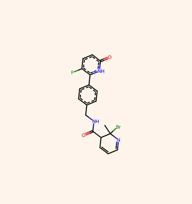 CC1(Br)N=CC=CC1C(=O)NCc1ccc(-c2[nH]c(=O)ccc2F)cc1